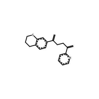 C=C(CCC(=C)c1ccccn1)c1ccc2c(c1)SCCC2